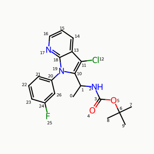 CC(NC(=O)OC(C)(C)C)c1c(Cl)c2cccnc2n1-c1cccc(F)c1